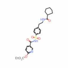 CCOC(=O)Oc1ccc(C(=O)NS(=O)(=O)c2ccc(CCNC(=O)C3CCCCC3)cc2)cn1